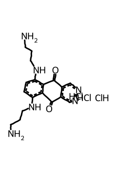 Cl.Cl.Cl.NCCCNc1ccc(NCCCN)c2c1C(=O)c1cnncc1C2=O